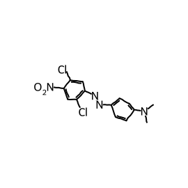 CN(C)c1ccc(N=Nc2cc(Cl)c([N+](=O)[O-])cc2Cl)cc1